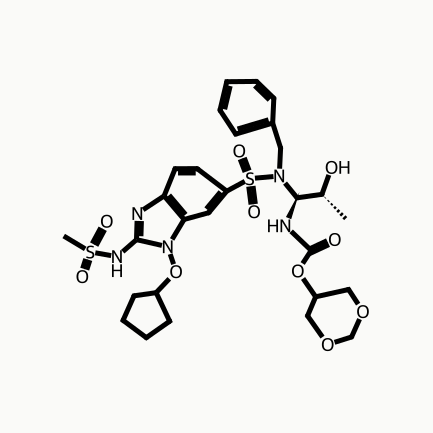 C[C@@H](O)[C@@H](NC(=O)OC1COCOC1)N(Cc1ccccc1)S(=O)(=O)c1ccc2nc(NS(C)(=O)=O)n(OC3CCCC3)c2c1